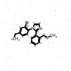 CCc1ccc(-n2ccnc2-c2ccccc2CSC)c(Br)c1